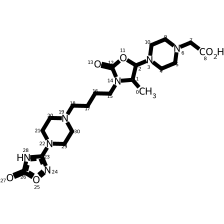 CC1C(N2CCN(CC(=O)O)CC2)OC(=O)N1CCCCN1CCN(c2noc(=O)[nH]2)CC1